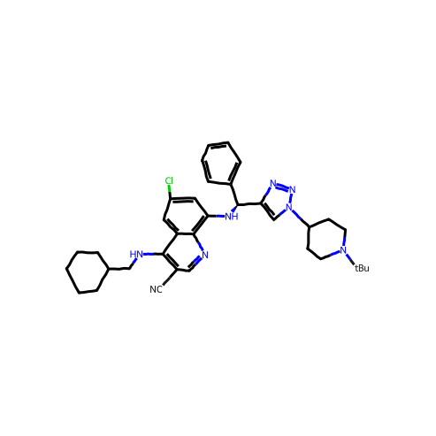 CC(C)(C)N1CCC(n2cc([C@@H](Nc3cc(Cl)cc4c(NCC5CCCCC5)c(C#N)cnc34)c3ccccc3)nn2)CC1